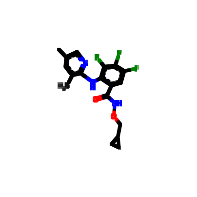 Bc1cc(C)cnc1Nc1c(C(=O)NOCC2CC2)cc(F)c(F)c1F